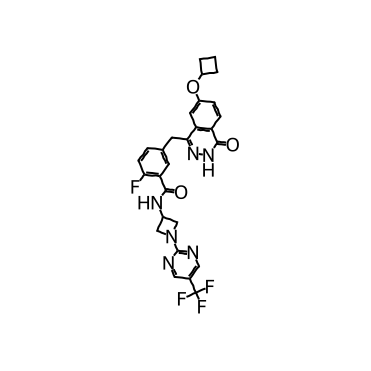 O=C(NC1CN(c2ncc(C(F)(F)F)cn2)C1)c1cc(Cc2n[nH]c(=O)c3ccc(OC4CCC4)cc23)ccc1F